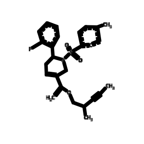 C=C(OCC(C)C#CC)C1=CCC(c2ccccc2F)N(S(=O)(=O)c2ccc(C)cc2)C1